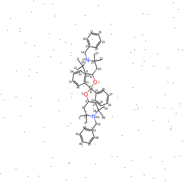 CC1(C)CC(O[Si](OC2CC(C)(C)N(Cc3ccccc3)C(C)(C)C2)(c2ccccc2)c2ccccc2)CC(C)(C)N1Cc1ccccc1